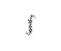 CCCCCc1ccc(CCc2ccc(-c3ccc(CC)cc3)cc2)c(F)c1F